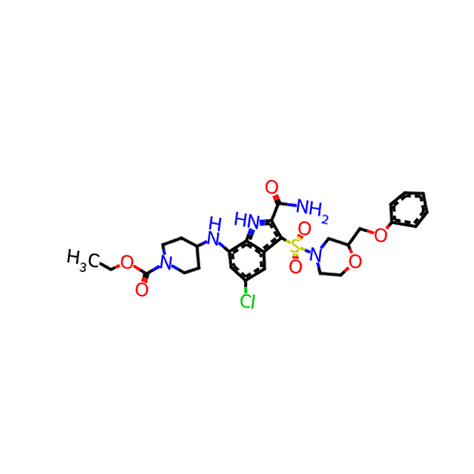 CCOC(=O)N1CCC(Nc2cc(Cl)cc3c(S(=O)(=O)N4CCOC(COc5ccccc5)C4)c(C(N)=O)[nH]c23)CC1